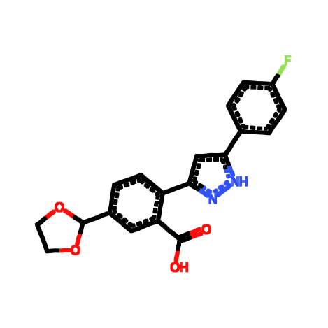 O=C(O)c1cc(C2OCCO2)ccc1-c1cc(-c2ccc(F)cc2)[nH]n1